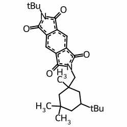 CC1(C)CC(C(C)(C)C)CC(C)(Cn2c(=O)c3cc4c(=O)n(C(C)(C)C)c(=O)c4cc3c2=O)C1